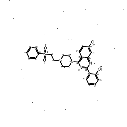 O=S(=O)(CCN1CCN(c2nc(-c3ccccc3O)nc3cc(Cl)ccc23)CC1)c1ccccc1